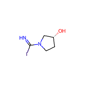 N=C(I)N1CC[C@@H](O)C1